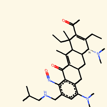 CCC1=C(C(C)=O)C(C)(CC)C2C(C)=C3C(=O)c4c(c(N(C)C)cc(CNCC(C)C)c4N=O)CC3CC2[C@H]1N(C)C